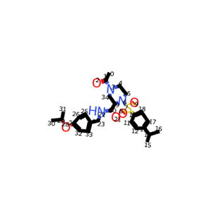 CC(=O)N1CCN(S(=O)(=O)c2ccc(C(C)C)cc2)C(C(=O)NCc2ccc(OC(C)C)cc2)C1